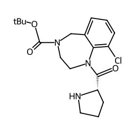 CC(C)(C)OC(=O)N1CCN(C(=O)[C@@H]2CCCN2)c2c(Cl)cccc2C1